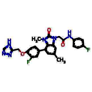 Cc1cc(-c2ccc(OCc3nnc[nH]3)c(F)c2)c2c(c1)n(CC(=O)Nc1ccc(F)cc1)c(=O)n2C